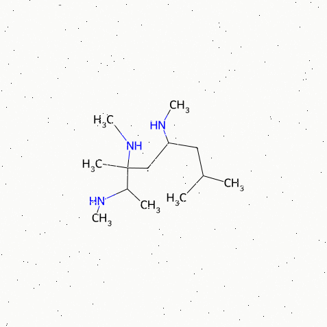 CNC([CH]C(C)(NC)C(C)NC)CC(C)C